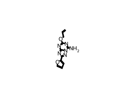 C=CCOc1nc(N)n2nc(-c3ccco3)nc2n1